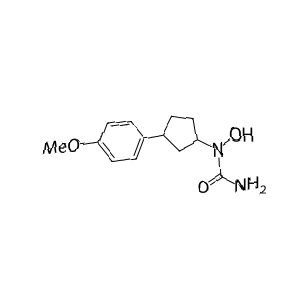 COc1ccc(C2CCC(N(O)C(N)=O)C2)cc1